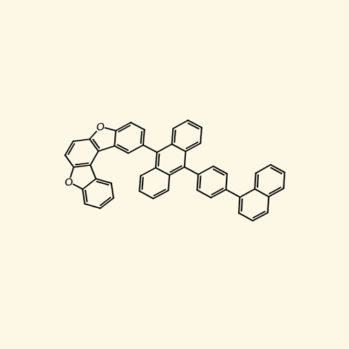 c1ccc2c(-c3ccc(-c4c5ccccc5c(-c5ccc6oc7ccc8oc9ccccc9c8c7c6c5)c5ccccc45)cc3)cccc2c1